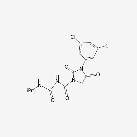 CC(C)NC(=O)NC(=O)N1CC(=O)N(c2cc(Cl)cc(Cl)c2)C1=O